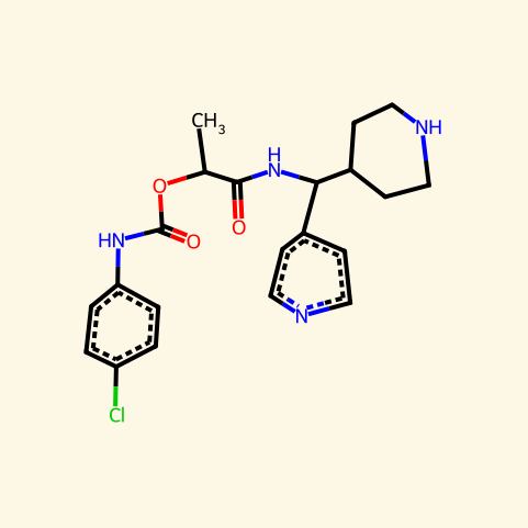 CC(OC(=O)Nc1ccc(Cl)cc1)C(=O)NC(c1ccncc1)C1CCNCC1